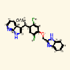 COC(c1cc(F)c(OCc2nc3ccccc3[nH]2)cc1F)c1c[nH]c2ncccc12